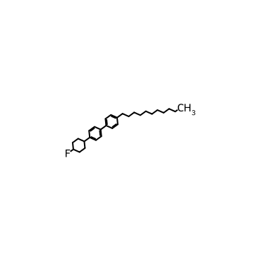 CCCCCCCCCCCc1ccc(-c2ccc(C3CCC(F)CC3)cc2)cc1